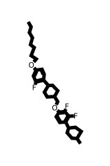 CCCCCCCCOc1ccc(C2CCC(COc3ccc(C4CCC(C)CC4)c(F)c3F)CC2)c(F)c1